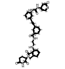 O=C1CCC(N2Cc3cccc(NCCNC(=O)c4cccc(C#Cc5cc(NC(=O)Nc6ccnc(Cl)c6)ccn5)c4)c3C2=O)C(=O)N1